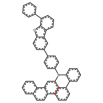 c1ccc(-c2ccccc2N(c2ccc(-c3ccc4oc5c(-c6ccccc6)cccc5c4c3)cc2)c2ccc3ccc4ccccc4c3c2)cc1